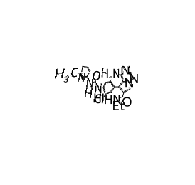 CCNC(=O)c1cn2ncnc(N)c2c1-c1ccc(NC(=O)Nc2cccc(C)n2)c(Cl)c1